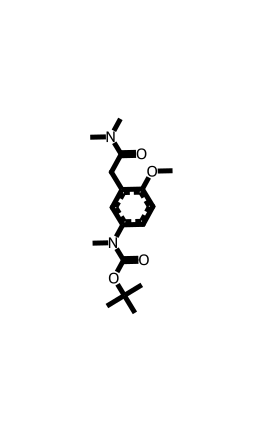 COc1ccc(N(C)C(=O)OC(C)(C)C)cc1CC(=O)N(C)C